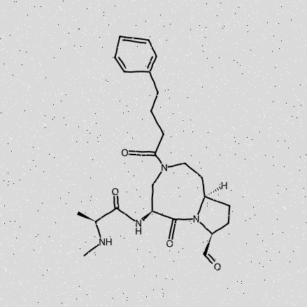 CN[C@@H](C)C(=O)N[C@H]1CN(C(=O)CCCc2ccccc2)CC[C@H]2CC[C@@H](C=O)N2C1=O